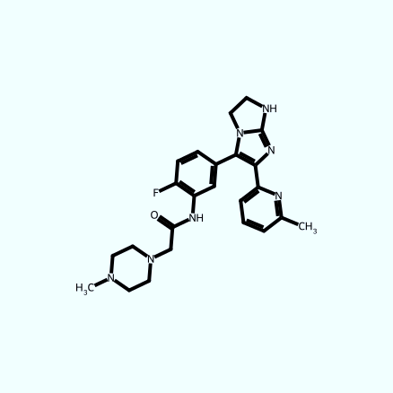 Cc1cccc(-c2nc3n(c2-c2ccc(F)c(NC(=O)CN4CCN(C)CC4)c2)CCN3)n1